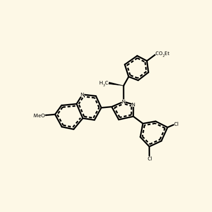 CCOC(=O)c1ccc([C@H](C)n2nc(-c3cc(Cl)cc(Cl)c3)cc2-c2cnc3cc(OC)ccc3c2)cc1